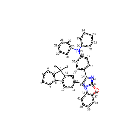 CC1(C)c2ccccc2-c2ccc(-c3c(-c4ccc(N(c5ccccc5)c5ccccc5)cc4)nc4oc5ccccc5n34)cc21